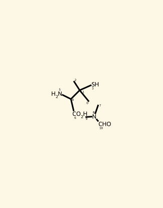 CC(C)(S)C(N)C(=O)O.CN(C)C=O